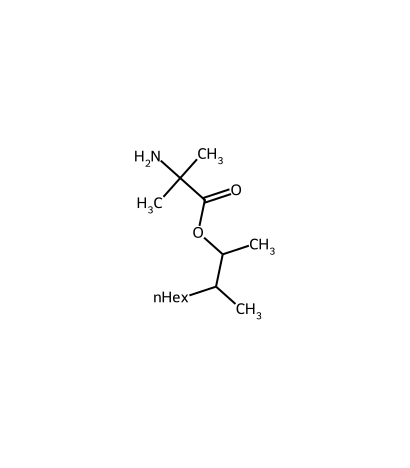 CCCCCCC(C)C(C)OC(=O)C(C)(C)N